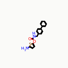 Nc1ccc(OC(=O)NCc2ccc(-c3ccccc3)cc2)s1